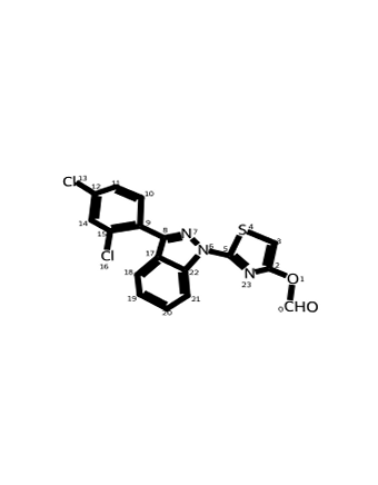 O=COc1csc(-n2nc(-c3ccc(Cl)cc3Cl)c3ccccc32)n1